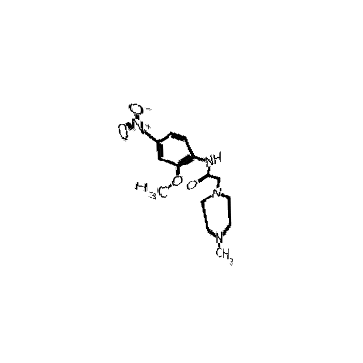 COc1cc([N+](=O)[O-])ccc1NC(=O)CN1CCN(C)CC1